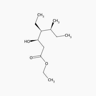 CCOC(=O)C[C@@H](O)[C@@H](CC)[C@@H](C)CC